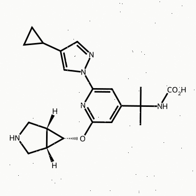 CC(C)(NC(=O)O)c1cc(O[C@@H]2[C@@H]3CNC[C@@H]32)nc(-n2cc(C3CC3)cn2)c1